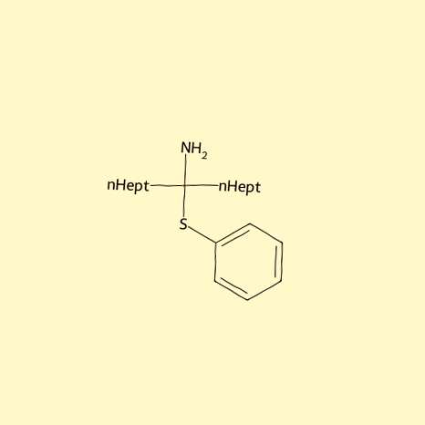 CCCCCCCC(N)(CCCCCCC)Sc1ccccc1